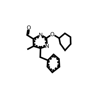 Cc1c(C=O)nc(OC2CCCCC2)nc1Cc1ccccc1